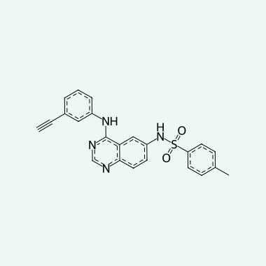 C#Cc1cccc(Nc2ncnc3ccc(NS(=O)(=O)c4ccc(C)cc4)cc23)c1